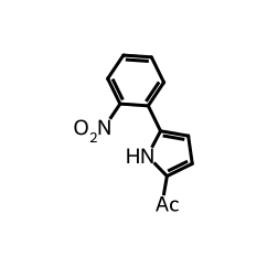 CC(=O)c1ccc(-c2ccccc2[N+](=O)[O-])[nH]1